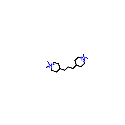 C[N+]1(C)CCC(CCCC2CC[N+](C)(C)CC2)CC1